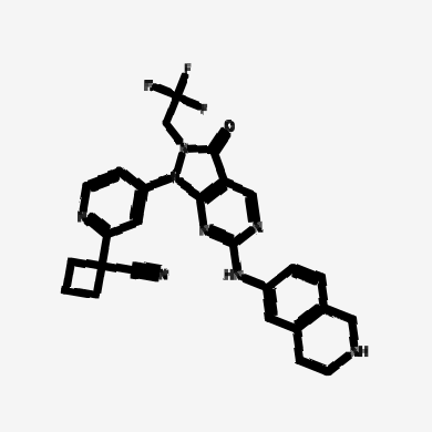 N#CC1(c2cc(-n3c4nc(Nc5ccc6c(c5)CCNC6)ncc4c(=O)n3CC(F)(F)F)ccn2)CCC1